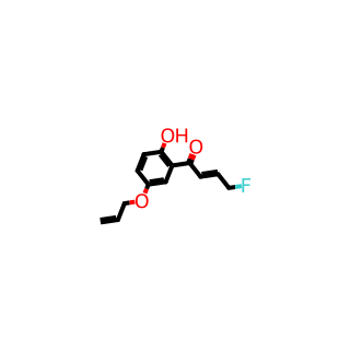 C=CCOc1ccc(O)c(C(=O)/C=C/CF)c1